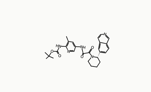 Cc1cc(NC(=O)C(=O)N2CCCC[C@H]2c2ccc3cnccc3c2)cnc1NC(=O)OC(C)(C)C